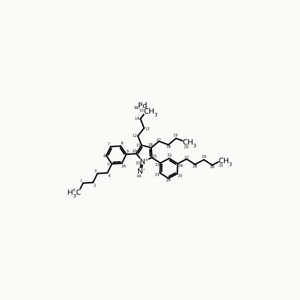 CCCCCc1cccc(C2=C(CCCC)C(CCCC)=C(c3cccc(CCCCC)c3)[N+]2=[N-])c1.[Pd]